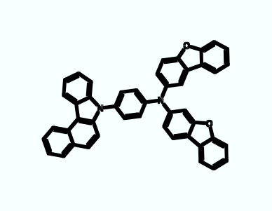 c1ccc2c(c1)ccc1c2c2ccccc2n1-c1ccc(N(c2ccc3c(c2)oc2ccccc23)c2ccc3oc4ccccc4c3c2)cc1